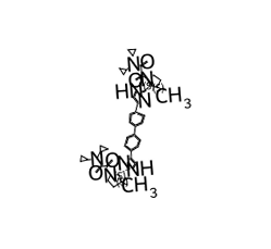 C[C@H]1CCN(C(=O)C(=O)N(C2CC2)C2CC2)[C@@H]1c1nc(-c2ccc(-c3ccc(-c4c[nH]c([C@@H]5[C@@H](C)CCN5C(=O)C(=O)N(C5CC5)C5CC5)n4)cc3)cc2)c[nH]1